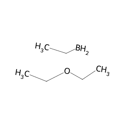 BCC.CCOCC